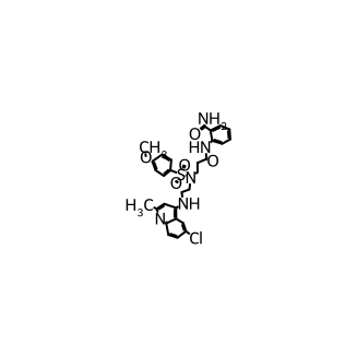 COc1ccc(S(=O)(=O)N(CCNc2cc(C)nc3ccc(Cl)cc23)CCC(=O)Nc2ccccc2C(N)=O)cc1